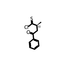 C[C@@H](CC(=O)c1ccccc1)C(=S)Cl